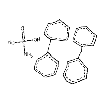 NP(=O)(O)O.c1ccc(-c2ccccc2)cc1.c1ccc(-c2ccccc2)cc1